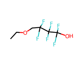 CCOCC(F)(F)C(F)(F)C(O)(F)F